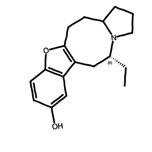 CC[C@@H]1Cc2c(oc3ccc(O)cc23)CCC2CCCN21